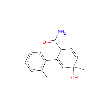 Cc1ccccc1C1=CC(C)(O)C=CC1C(N)=O